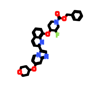 O=C(OCc1ccccc1)N1CCC(Oc2cccc3ccc(-c4cnc5cc(OC6CCOCC6)ccn45)nc23)C(F)C1